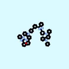 C1=CC(c2nc(-c3cccc(-c4ccc(-n5c6ccccc6c6c5ccc5c7ccccc7n(-c7nc8ccccc8nc7-c7ccccc7)c56)cc4)c3)c3ccccc3n2)CC(n2c3ccccc3c3ccc4c(c5ccccc5n4-c4ccccc4)c32)=C1